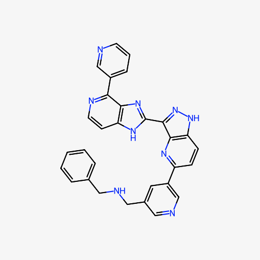 c1ccc(CNCc2cncc(-c3ccc4[nH]nc(-c5nc6c(-c7cccnc7)nccc6[nH]5)c4n3)c2)cc1